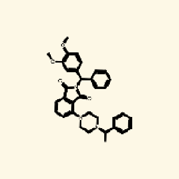 COc1ccc(C(c2ccccc2)N2C(=O)c3cccc(N4CCN(C(C)c5ccccc5)CC4)c3C2=O)cc1OC